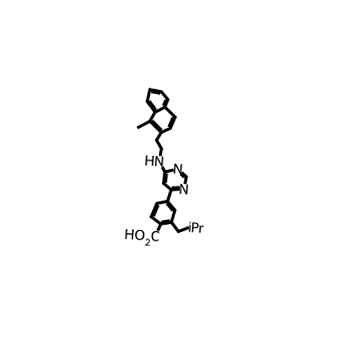 Cc1c(CCNc2cc(-c3ccc(C(=O)O)c(CC(C)C)c3)ncn2)ccc2ccccc12